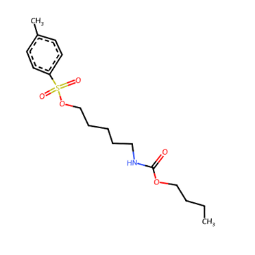 CCCCOC(=O)NCCCCCOS(=O)(=O)c1ccc(C)cc1